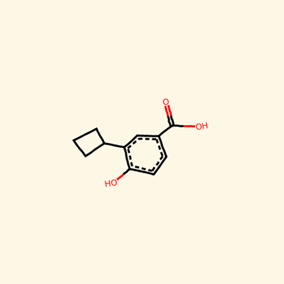 O=C(O)c1ccc(O)c(C2CCC2)c1